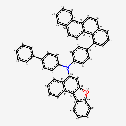 c1ccc(-c2ccc(N(c3ccc(-c4cccc5ccc6c7ccccc7ccc6c45)cc3)c3cc4oc5ccccc5c4c4ccccc34)cc2)cc1